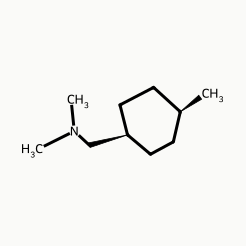 CN(C)C[C@H]1CC[C@@H](C)CC1